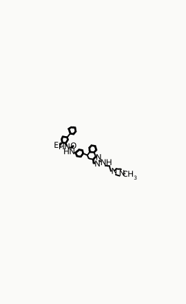 CCc1ccc(-c2ccccc2)cc1NC(=O)Nc1ccc(C2Cc3cnc(NCCCN4CCN(C)CC4)nc3-c3ccccc32)cc1